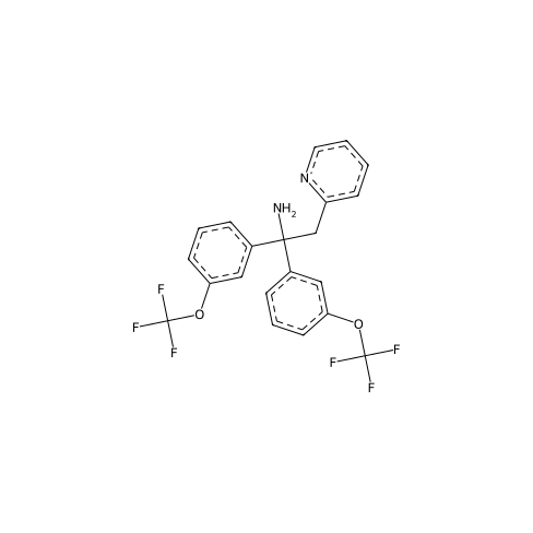 NC(Cc1ccccn1)(c1cccc(OC(F)(F)F)c1)c1cccc(OC(F)(F)F)c1